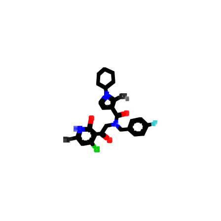 CCc1cc(Cl)c(C(=O)CN(Cc2ccc(F)cc2)C(=O)c2ccn(C3CCCCC3)c2C(F)(F)F)c(=O)[nH]1